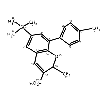 Cc1ccc(-c2cc([Si](C)(C)C)cc3c2OC(C(F)(F)F)C(C(=O)O)=C3)cc1